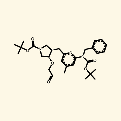 Cc1cc(C[C@@H]2CN(C(=O)OC(C)(C)C)C[C@@H]2OCC=O)nc(N(Cc2ccccc2)C(=O)OC(C)(C)C)c1